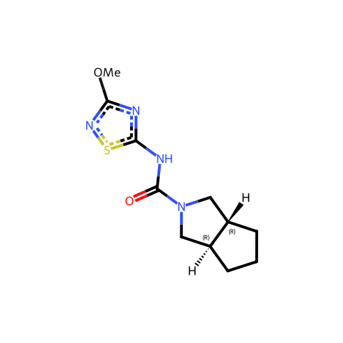 COc1nsc(NC(=O)N2C[C@@H]3CCC[C@H]3C2)n1